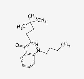 CCCCn1nc(CCC(C)(C)C)c(=O)c2ccccc21